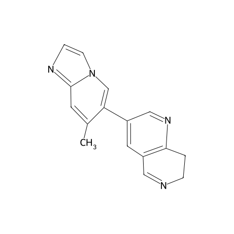 Cc1cc2nccn2cc1-c1cnc2c(c1)C=NCC2